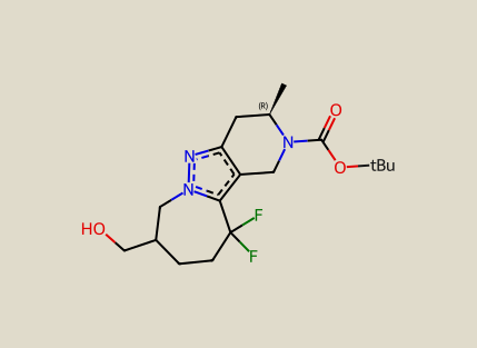 C[C@@H]1Cc2nn3c(c2CN1C(=O)OC(C)(C)C)C(F)(F)CCC(CO)C3